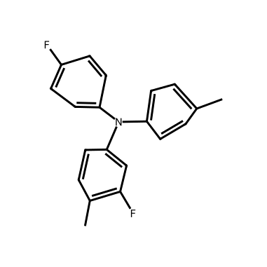 Cc1ccc(N(c2ccc(F)cc2)c2ccc(C)c(F)c2)cc1